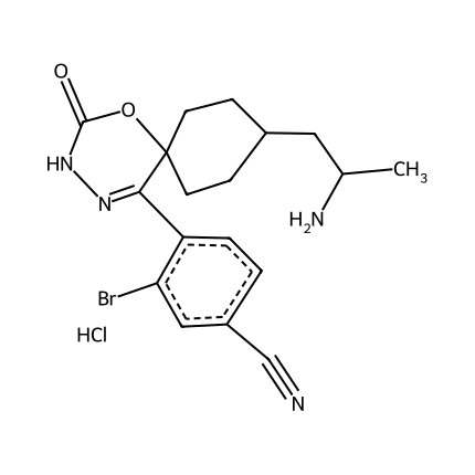 CC(N)CC1CCC2(CC1)OC(=O)NN=C2c1ccc(C#N)cc1Br.Cl